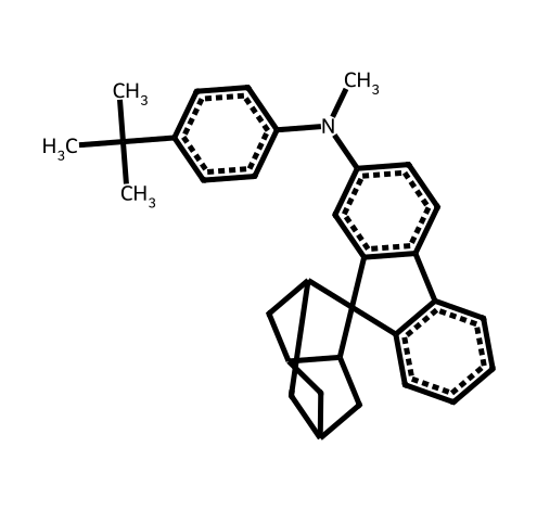 CN(c1ccc(C(C)(C)C)cc1)c1ccc2c(c1)C1(c3ccccc3-2)C2CC3CC(C2)C1C3